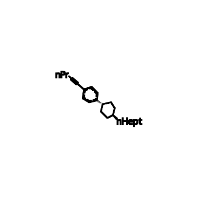 CCCC#Cc1ccc([C@H]2CC[C@H](CCCCCCC)CC2)cc1